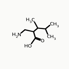 CC(C)C(C)C(CN)C(=O)O